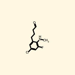 CNc1c(F)cc(Cl)cc1CCCC=O